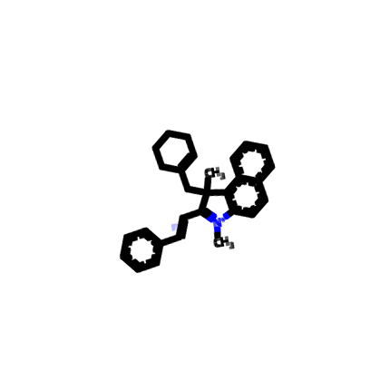 C[N+]1=C(/C=C/c2ccccc2)C(C)(CC2=CCCCC2)c2c1ccc1ccccc21